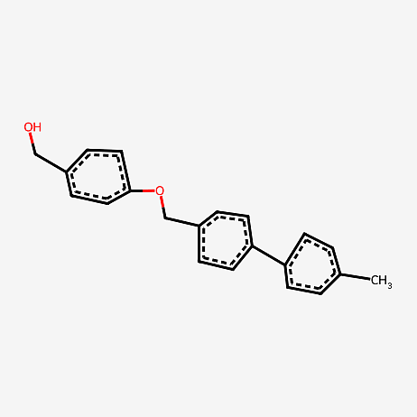 Cc1ccc(-c2ccc(COc3ccc(CO)cc3)cc2)cc1